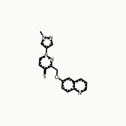 Cn1cc(-n2ccc(=S)c(COc3ccc4ncccc4c3)n2)cn1